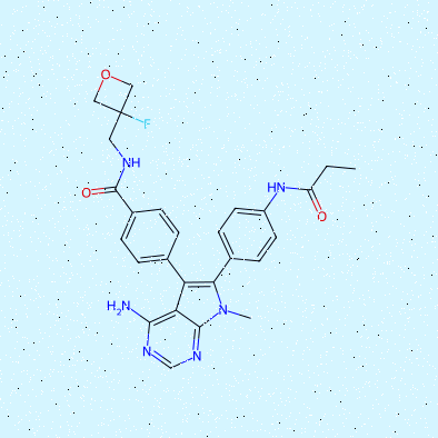 CCC(=O)Nc1ccc(-c2c(-c3ccc(C(=O)NCC4(F)COC4)cc3)c3c(N)ncnc3n2C)cc1